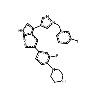 Fc1cccc(Cn2cc(-c3c[nH]c4ncc(-c5ccc(N6CCNCC6)c(F)c5)cc34)cn2)c1